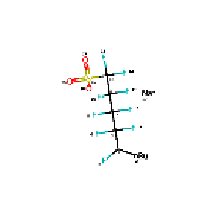 CCCCC(F)C(F)(F)C(F)(F)C(F)(F)C(F)(F)S(=O)(=O)[O-].[Na+]